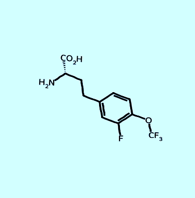 N[C@@H](CCc1ccc(OC(F)(F)F)c(F)c1)C(=O)O